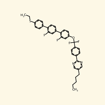 CCCCCc1cnc(-c2ccc(C(F)(F)Oc3ccc(-c4ccc(-c5ccc(SCC)cc5)c(F)c4)c(F)c3)cc2)nc1